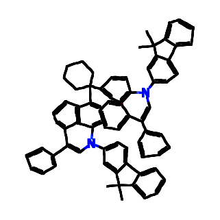 CC1(C)c2ccccc2-c2ccc(N(C=C(c3ccccc3)c3ccccc3)c3ccc(C4(c5ccc(N(C=C(c6ccccc6)c6ccccc6)c6ccc7c(c6)C(C)(C)c6ccccc6-7)cc5)CCCCC4)cc3)cc21